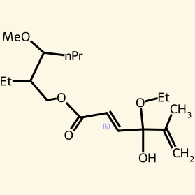 C=C(C)C(O)(/C=C/C(=O)OCC(CC)C(CCC)OC)OCC